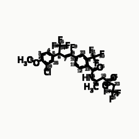 COc1ccc(C(/C=C(\F)c2ccc(C(=O)N[C@H](C)CS(=O)(=O)CC(F)(F)F)c(C(F)(F)F)c2)C(F)(F)F)cc1Cl